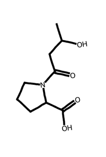 CC(O)CC(=O)N1CCCC1C(=O)O